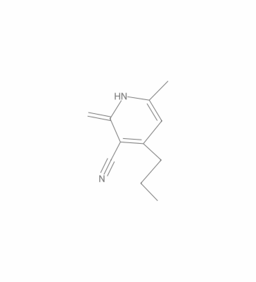 C=C1NC(C)=CC(CCC)=C1C#N